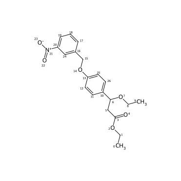 CCOC(=O)CC(OCC)c1ccc(OCc2cccc([N+](=O)[O-])c2)cc1